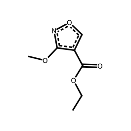 CCOC(=O)c1conc1OC